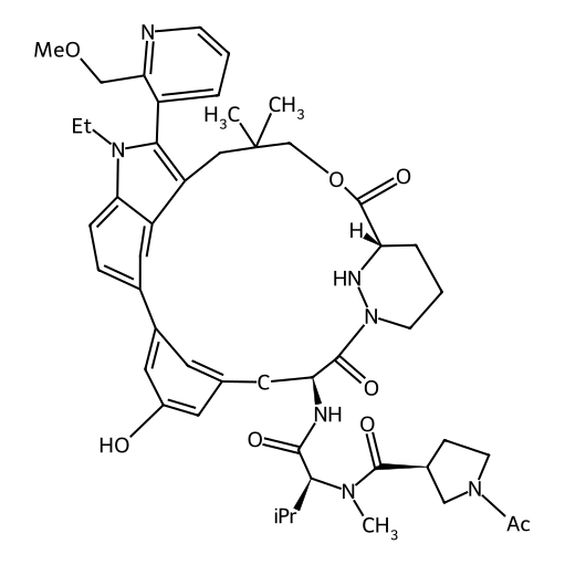 CCn1c(-c2cccnc2COC)c2c3cc(ccc31)-c1cc(O)cc(c1)C[C@H](NC(=O)[C@H](C(C)C)N(C)C(=O)[C@H]1CCN(C(C)=O)C1)C(=O)N1CCC[C@H](N1)C(=O)OCC(C)(C)C2